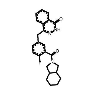 O=C(c1cc(Cc2n[nH]c(=O)c3ccccc23)ccc1F)N1CC2CCCCC2C1